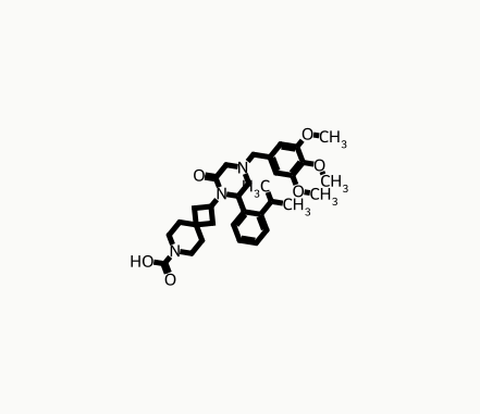 COc1cc(CN2CC(=O)N(C3CC4(CCN(C(=O)O)CC4)C3)C(c3ccccc3C(C)C)C2)cc(OC)c1OC